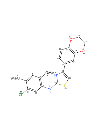 COc1cc(OC)c(Nc2nc(-c3ccc4c(c3)OCCO4)cs2)cc1Cl